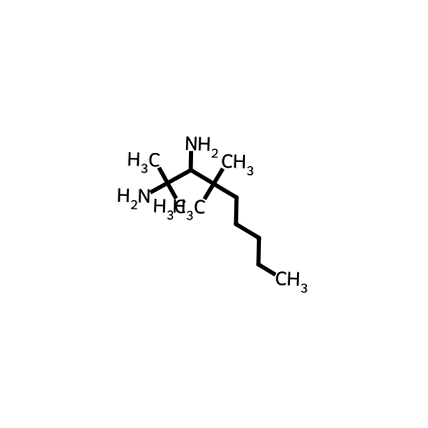 CCCCCC(C)(C)C(N)C(C)(C)N